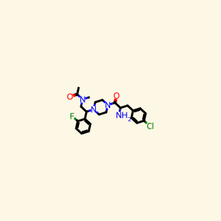 CC(=O)N(C)CC(c1ccccc1F)N1CCN(C(=O)C(N)Cc2ccc(Cl)cc2)CC1